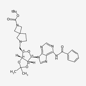 CC(C)(C)OC(=O)N1CC2(CCN(C[C@H]3O[C@@H](n4cnc5c(NC(=O)c6ccccc6)ncnc54)[C@@H]4OC(C)(C)O[C@@H]43)C2)C1